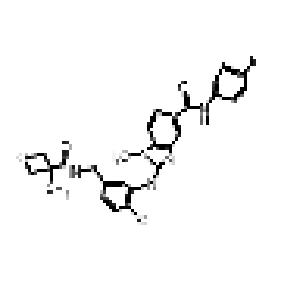 Cn1c(Nc2cc(CNC(=O)C3(C)COC3)ccc2Cl)nc2cc(C(=O)Nc3ccc(Br)cc3)ccc21